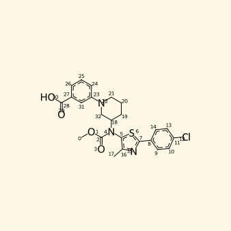 COC(=O)N(c1sc(-c2ccc(Cl)cc2)nc1C)C1CCCN(c2cccc(C(=O)O)c2)C1